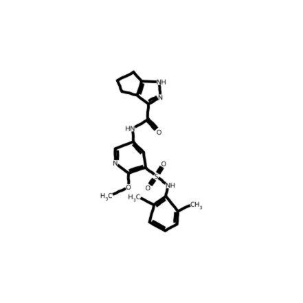 COc1ncc(NC(=O)c2n[nH]c3c2CCC3)cc1S(=O)(=O)Nc1c(C)cccc1C